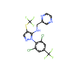 FC(F)(F)Sc1cnn(-c2c(Cl)cc(C(F)(F)F)cc2Cl)c1NCc1cnccn1